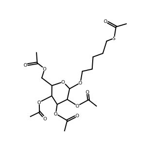 CC(=O)OCC1OC(OCCCCCSC(C)=O)C(OC(C)=O)C(OC(C)=O)C1OC(C)=O